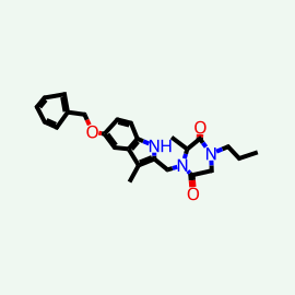 CCCN1CC(=O)N(Cc2[nH]c3ccc(OCc4ccccc4)cc3c2C)C(C)C1=O